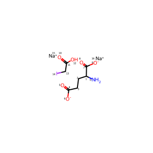 NC(CCC(=O)[O-])C(=O)[O-].O=C(O)CI.[Na+].[Na+]